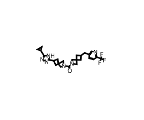 O=C(N1CC2(CC(Cc3ccc(C(F)(F)F)nc3)C2)C1)N1CC2(CC(c3nnc(C4CC4)[nH]3)C2)C1